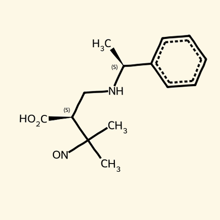 C[C@H](NC[C@H](C(=O)O)C(C)(C)N=O)c1ccccc1